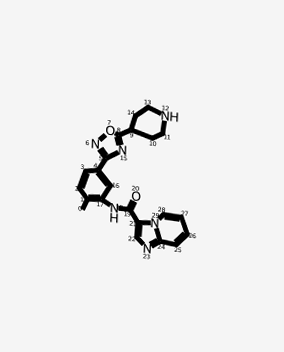 Cc1ccc(-c2noc(C3CCNCC3)n2)cc1NC(=O)c1cnc2ccccn12